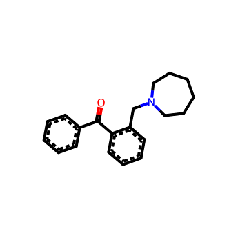 O=C(c1ccccc1)c1ccccc1CN1CCCCCC1